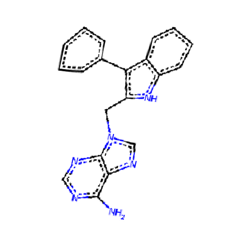 Nc1ncnc2c1ncn2Cc1[nH]c2ccccc2c1-c1ccccc1